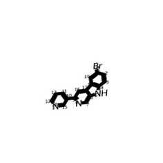 Brc1ccc2[nH]c3cnc(-c4cccnc4)cc3c2c1